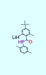 Cc1ccc(C)c(PC(=O)c2c(C)cc(C(C)(C)C)cc2C)c1.[LiH]